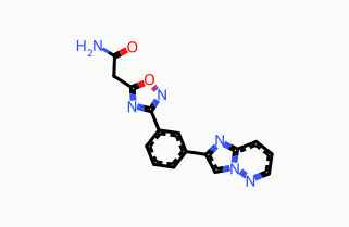 NC(=O)Cc1nc(-c2cccc(-c3cn4ncccc4n3)c2)no1